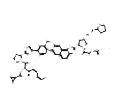 C=C(/C=C\C=C/C)[C@@H](NC(=O)C1CC1)C(=O)N1CCC[C@H]1c1ncc(-c2ccc3c(c2)COc2cc4c(ccc5nc([C@@H]6C[C@H](COCC7CCCC7)CN6C(=O)[C@@H](NC(=O)OC)C(C)C)[nH]c54)cc2-3)[nH]1